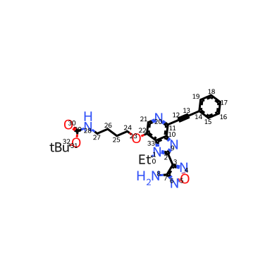 CCn1c(-c2nonc2N)nc2c(C#Cc3ccccc3)ncc(OCCCCNC(=O)OC(C)(C)C)c21